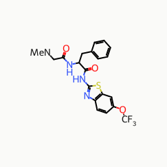 CNCC(=O)NC(Cc1ccccc1)C(=O)Nc1nc2ccc(OC(F)(F)F)cc2s1